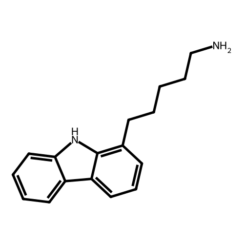 NCCCCCc1cccc2c1[nH]c1ccccc12